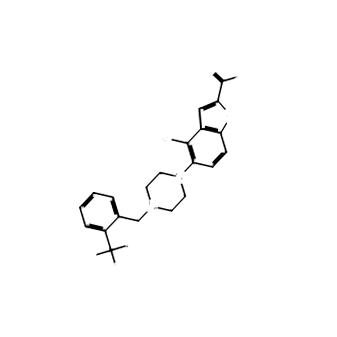 O=C(O)c1cc2c(Br)c(N3CCN(Cc4ccccc4C(F)(F)F)CC3)ccc2o1